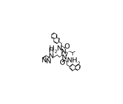 CC(C)C[C@@H]1CN(C(=O)C(N)Cc2ccc3ccccc3c2)[C@@H](CCCNc2ccncn2)CN1C(=O)C(N)Cc1ccc2ccccc2c1